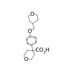 O=C(O)C1(c2ccc(OCC3CCOCC3)cc2)CCOCC1